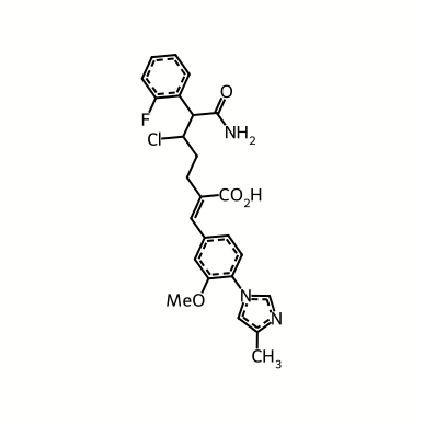 COc1cc(/C=C(/CCC(Cl)C(C(N)=O)c2ccccc2F)C(=O)O)ccc1-n1cnc(C)c1